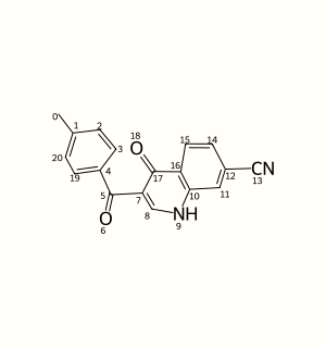 Cc1ccc(C(=O)c2c[nH]c3cc(C#N)ccc3c2=O)cc1